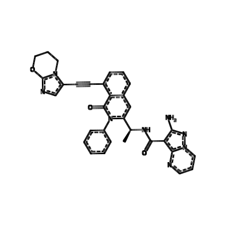 C[C@H](NC(=O)c1c(N)nn2cccnc12)c1cc2cccc(C#Cc3cnc4n3CCCO4)c2c(=O)n1-c1ccccc1